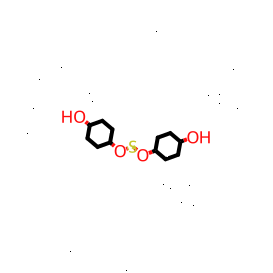 OC1CCC(OSOC2CCC(O)CC2)CC1